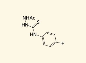 [CH2]C(=O)NNC(=S)Nc1ccc(F)cc1